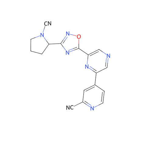 N#Cc1cc(-c2cncc(-c3nc(C4CCCN4C#N)no3)n2)ccn1